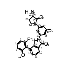 COc1cccc(F)c1-c1nccc2c1CN(c1cc(C)cc(N3CC[C@H](N)C3=O)n1)C2=O